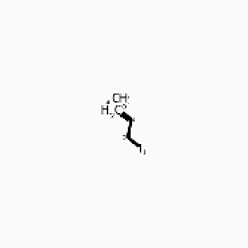 C=CCI.[CH]